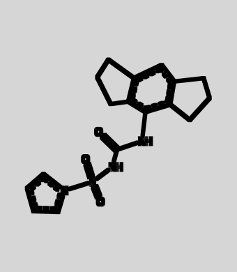 O=C(Nc1c2c(cc3c1CCC3)CCC2)NS(=O)(=O)n1cccc1